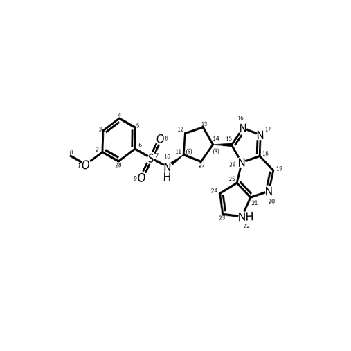 COc1cccc(S(=O)(=O)N[C@H]2CC[C@@H](c3nnc4cnc5[nH]ccc5n34)C2)c1